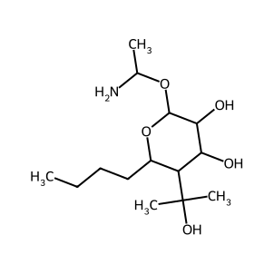 CCCCC1OC(OC(C)N)C(O)C(O)C1C(C)(C)O